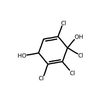 OC1C=C(Cl)C(O)(Cl)C(Cl)=C1Cl